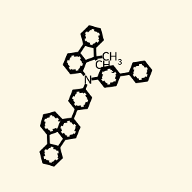 CC1(C)c2ccccc2-c2cccc(N(c3ccc(-c4ccccc4)cc3)c3ccc(-c4ccc5c6c(cccc46)-c4ccccc4-5)cc3)c21